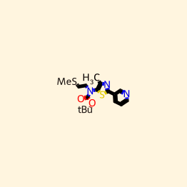 CSCCN(C(=O)OC(C)(C)C)c1sc(-c2cccnc2)nc1C